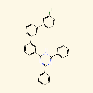 Clc1cccc(-c2cccc(-c3cccc(C4N=C(c5ccccc5)N=C(c5ccccc5)N4)c3)c2)c1